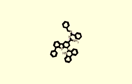 N/C(=N\C(=N/CC1C=CC=CC1)C1=CCCC=C1)C1=Cc2c(sc3c(-c4ccccc4)cccc23)C([C@@H]2Nc3ccccc3-c3ccccc32)C1